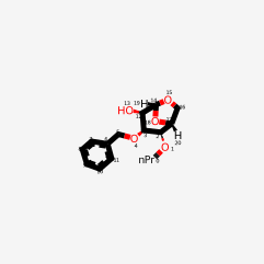 CCCO[C@@H]1[C@@H](OCc2ccccc2)[C@@H](O)[C@@H]2OC[C@H]1O2